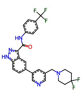 O=C(Nc1ccc(C(F)(F)F)cc1)c1n[nH]c2ccc(-c3cncc(CN4CCC(F)(F)CC4)c3)cc12